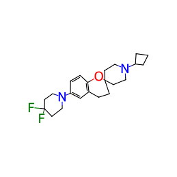 FC1(F)CCN(c2ccc3c(c2)CCC2(CCN(C4CCC4)CC2)O3)CC1